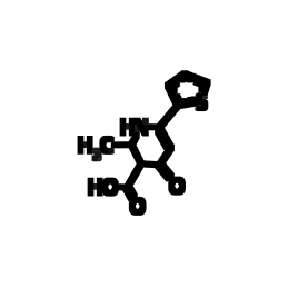 CC1NC(c2cccs2)=CC(=O)C1C(=O)O